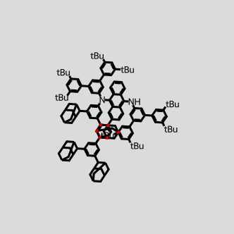 CC(C)(C)c1cc(-c2cc(Nc3c4ccccc4c(N(c4cc(-c5cc(C(C)(C)C)cc(C(C)(C)C)c5)cc(-c5cc(C(C)(C)C)cc(C(C)(C)C)c5)c4)c4cc(C5C6CC7CC(C6)CC5C7)cc(C5C6CC7CC(C6)CC5C7)c4)c4cc(-c5ccc(-c6cc(C7C8CC9CC(C8)CC7C9)cc(C7C8CC9CC(C8)CC7C9)c6)cc5)ccc34)cc(-c3cc(C(C)(C)C)cc(C(C)(C)C)c3)c2)cc(C(C)(C)C)c1